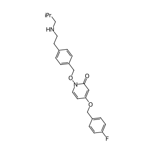 CC(C)CNCCc1ccc(COn2ccc(OCc3ccc(F)cc3)cc2=O)cc1